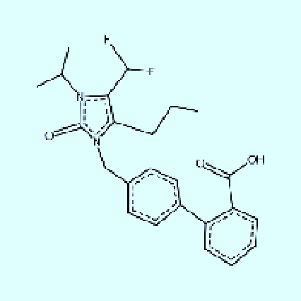 CCCc1c(C(F)F)n(C(C)C)c(=O)n1Cc1ccc(-c2ccccc2C(=O)O)cc1